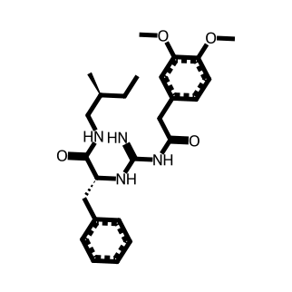 CC[C@H](C)CNC(=O)[C@@H](Cc1ccccc1)NC(=N)NC(=O)Cc1ccc(OC)c(OC)c1